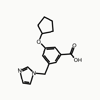 O=C(O)c1cc(Cn2ccnc2)cc(OC2CCCC2)c1